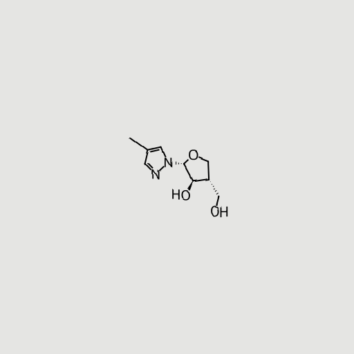 Cc1cnn([C@@H]2OC[C@H](CO)[C@H]2O)c1